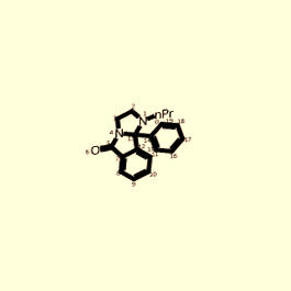 CCCN1CCN2C(=O)c3ccccc3C12c1ccccc1